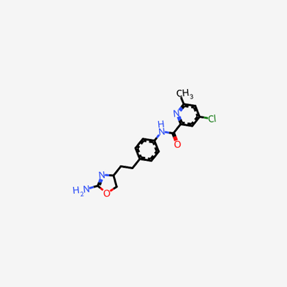 Cc1cc(Cl)cc(C(=O)Nc2ccc(CCC3COC(N)=N3)cc2)n1